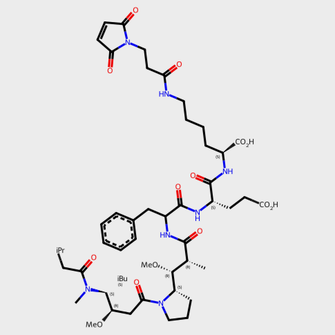 CC[C@H](C)[C@@H]([C@@H](CC(=O)N1CCC[C@H]1[C@H](OC)[C@@H](C)C(=O)NC(Cc1ccccc1)C(=O)N[C@@H](CCC(=O)O)C(=O)N[C@@H](CCCCNC(=O)CCN1C(=O)C=CC1=O)C(=O)O)OC)N(C)C(=O)CC(C)C